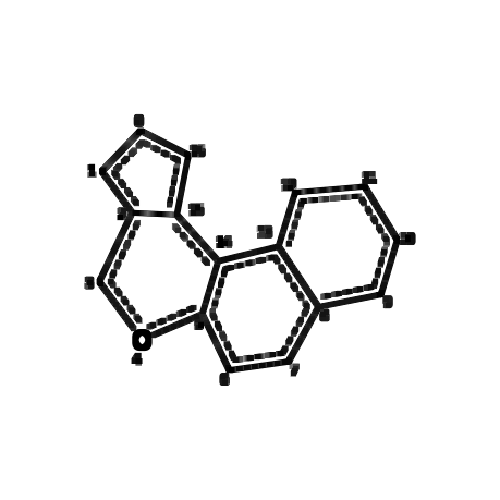 c1cc2coc3ccc4ccccc4c3c-2c1